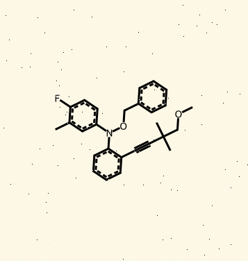 COCC(C)(C)C#Cc1ccccc1N(OCc1ccccc1)c1ccc(F)c(C)c1